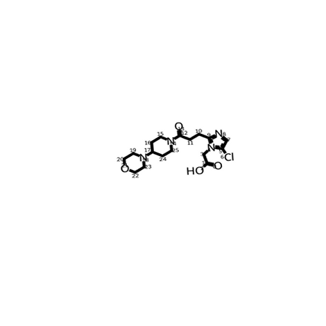 O=C(O)Cn1c(Cl)cnc1CCC(=O)N1CCC(N2CCOCC2)CC1